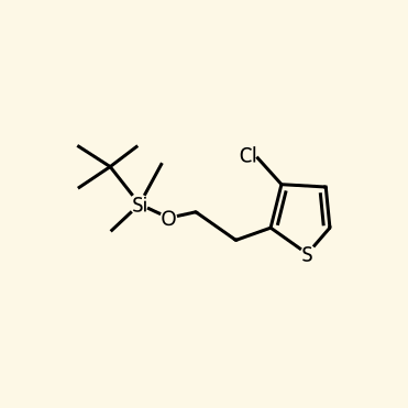 CC(C)(C)[Si](C)(C)OCCc1sccc1Cl